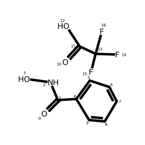 O=C(NO)c1ccccc1.O=C(O)C(F)(F)F